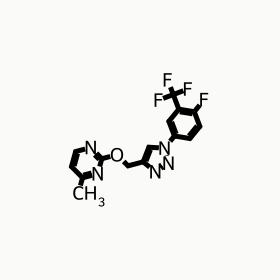 Cc1ccnc(OCc2cn(-c3ccc(F)c(C(F)(F)F)c3)nn2)n1